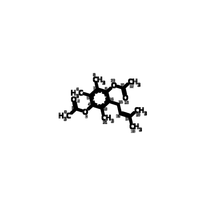 CC(=O)Oc1c(C)c(C)c(OC(C)=O)c(CC=C(C)C)c1C